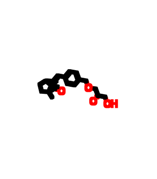 CC12CCC(/C(=C/c3ccc(COCC(=O)CO)cc3)C1=O)C2(C)C